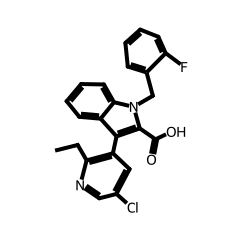 CCc1ncc(Cl)cc1-c1c(C(=O)O)n(Cc2ccccc2F)c2ccccc12